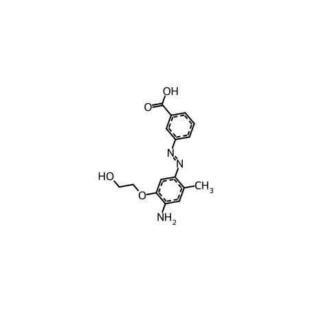 Cc1cc(N)c(OCCO)cc1N=Nc1cccc(C(=O)O)c1